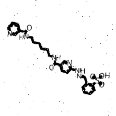 O=C(NCCCCCCNC(=O)c1ccc(NN=Cc2ccccc2S(=O)(=O)O)nc1)c1cccnc1